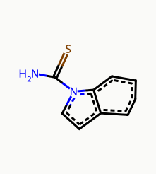 NC(=S)n1ccc2ccccc21